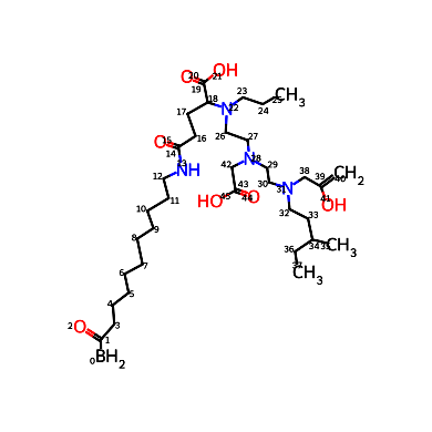 BC(=O)CCCCCCCCCCNC(=O)CCC(C(=O)O)N(CCC)CCN(CCN(CCC(C)CC)CC(=C)O)CC(=O)O